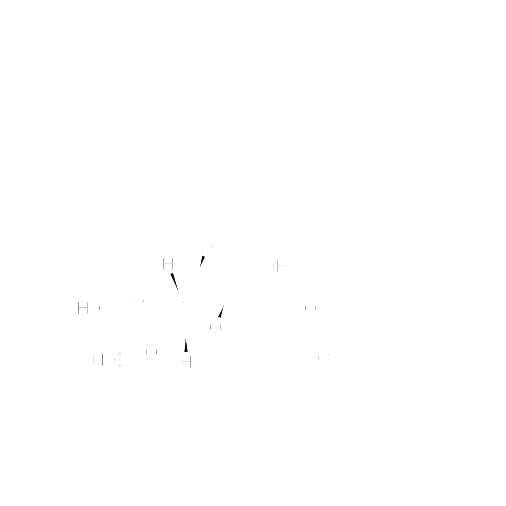 CC1(C)O[C@H]2O[C@H]([C@H](O)COC(=O)c3ccccc3)[C@H](OCc3ccccc3)[C@H]2O1